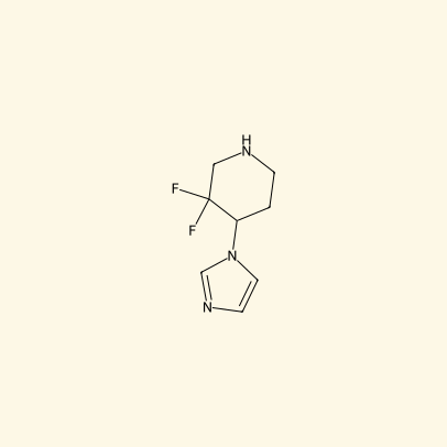 FC1(F)CNCCC1n1ccnc1